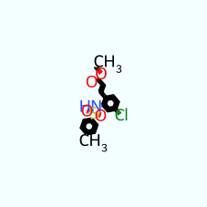 CCOC(=O)C=Cc1ccc(Cl)cc1NS(=O)(=O)c1ccc(C)cc1